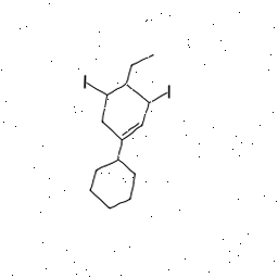 CCC1C(I)C=C(C2CCCCC2)CC1I